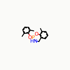 Cc1cccc(C)c1OP1NCc2cccc(C)c2O1